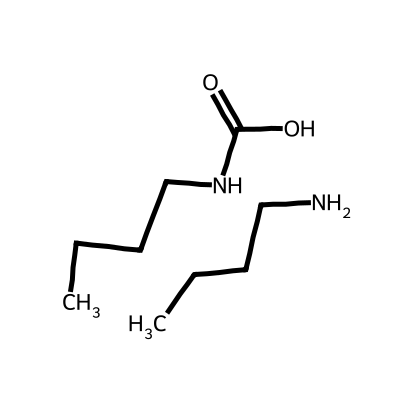 CCCCN.CCCCNC(=O)O